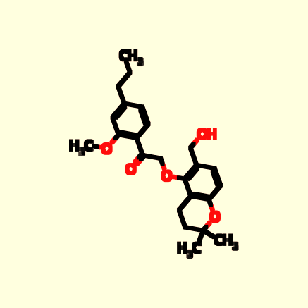 CCCc1ccc(C(=O)COc2c(CO)ccc3c2CCC(C)(C)O3)c(OC)c1